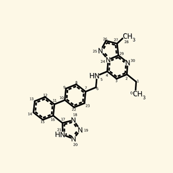 CCc1cc(NCc2ccc(-c3ccccc3-c3nnn[nH]3)cc2)n2ncc(C)c2n1